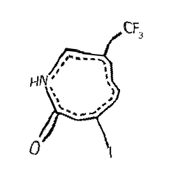 O=c1[nH]cc(C(F)(F)F)cc1I